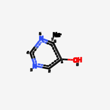 Oc1cncnc1.[Na]